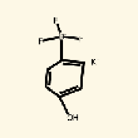 Oc1ccc([B-](F)(F)F)cc1.[K+]